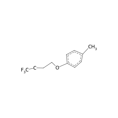 Cc1ccc(OCCCC(F)(F)F)cc1